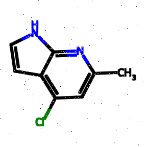 Cc1cc(Cl)c2cc[nH]c2n1